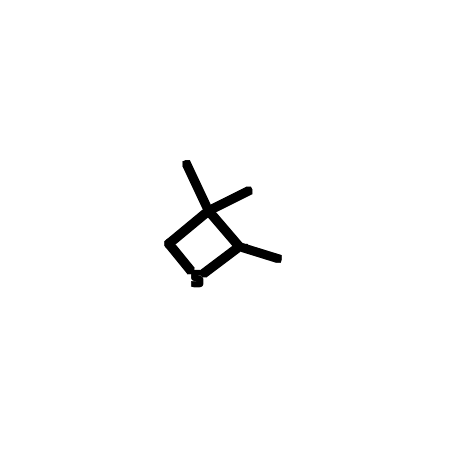 C[C]1SCC1(C)C